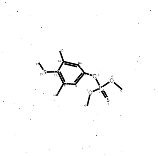 COP(=S)(OC)Oc1cc(C)c(SC)c(C)c1